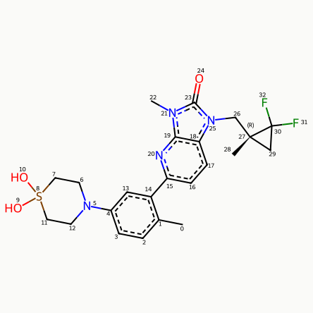 Cc1ccc(N2CCS(O)(O)CC2)cc1-c1ccc2c(n1)n(C)c(=O)n2C[C@@]1(C)CC1(F)F